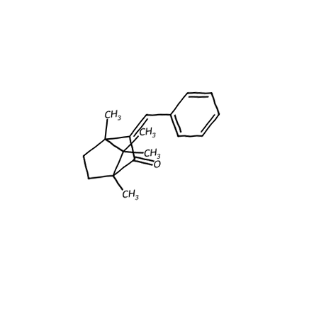 CC12CCC(C)(C(=Cc3ccccc3)C1=O)C2(C)C